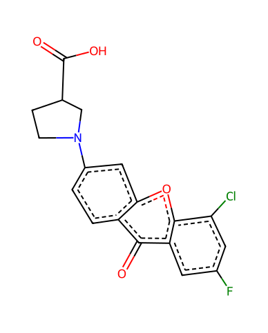 O=C(O)C1CCN(c2ccc3c(=O)c4cc(F)cc(Cl)c4oc3c2)C1